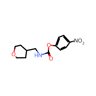 O=C(NCC1CCOCC1)Oc1ccc([N+](=O)[O-])cc1